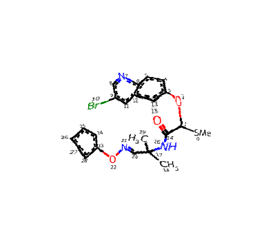 CSC(Oc1ccc2ncc(Br)cc2c1)C(=O)NC(C)(C)C=NOc1ccccc1